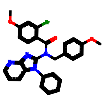 COc1ccc(CN(C(=O)c2ccc(OC)cc2Br)c2nc3ncccc3n2-c2ccccc2)cc1